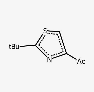 CC(=O)c1csc(C(C)(C)C)n1